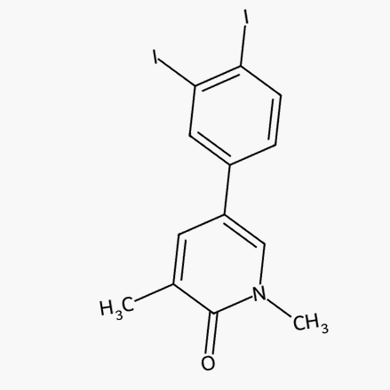 Cc1cc(-c2ccc(I)c(I)c2)cn(C)c1=O